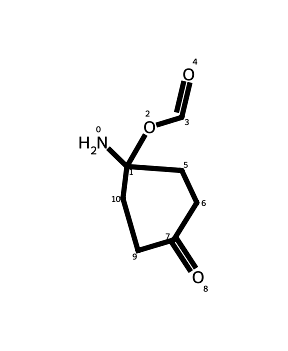 NC1(OC=O)CCC(=O)CC1